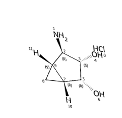 Cl.N[C@H]1[C@H](O)[C@H](O)[C@@H]2C[C@H]12